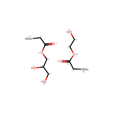 CCCCCCCCCCCC(=O)OCC(O)CO.CCCCCCCCCCCC(=O)OCCO